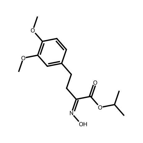 COc1ccc(CC/C(=N/O)C(=O)OC(C)C)cc1OC